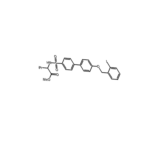 COC(=O)C(NS(=O)(=O)c1ccc(-c2ccc(OCc3ccccc3I)cc2)cc1)C(C)C